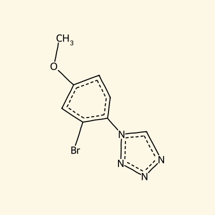 COc1ccc(-n2cnnn2)c(Br)c1